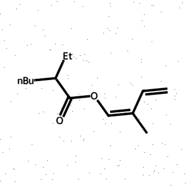 C=CC(C)=COC(=O)C(CC)CCCC